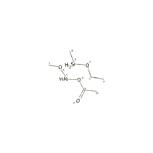 CCO[SiH2]C.C[O][AlH][O]C(C)=O